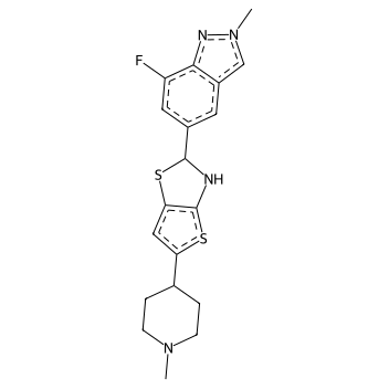 CN1CCC(c2cc3c(s2)NC(c2cc(F)c4nn(C)cc4c2)S3)CC1